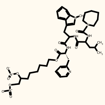 CC(C)CC(NC(=O)N1CCCCCC1)C(=O)NC(Cc1cn(C)c2ccccc12)C(=O)N[C@H](Cc1ccccn1)C(=O)OCCCCCCC(CO[N+](=O)[O-])O[N+](=O)[O-]